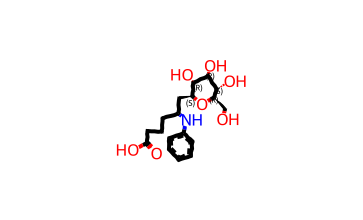 O=C(O)CCCC(C[C@@H]1O[C@H](CO)[C@@H](O)[C@H](O)[C@H]1O)Nc1ccccc1